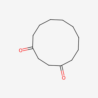 O=C1CCCCCCCCC(=O)CC1